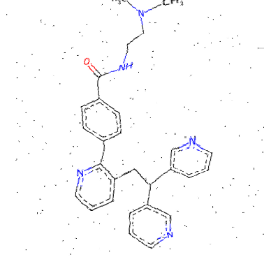 CN(C)CCNC(=O)c1ccc(-c2ncccc2CC(c2cccnc2)c2cccnc2)cc1